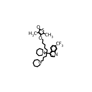 CC1=C(OCCCCCC(CCCN2CCCCCC2)(c2ccnc3cc(C(F)(F)F)ccc23)N2CCCCCC2)C(C)SC1=O